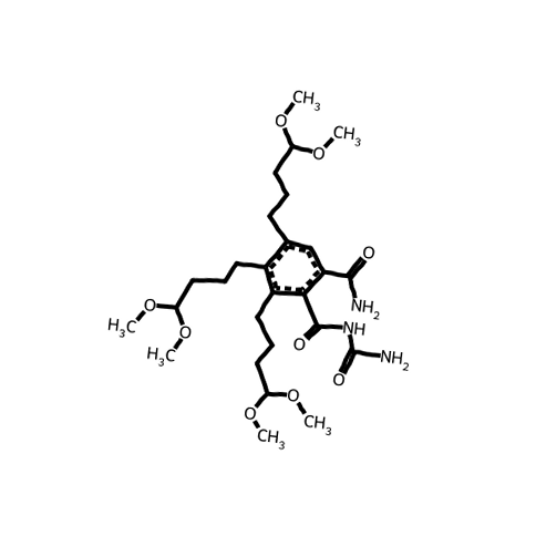 COC(CCCc1cc(C(N)=O)c(C(=O)NC(N)=O)c(CCCC(OC)OC)c1CCCC(OC)OC)OC